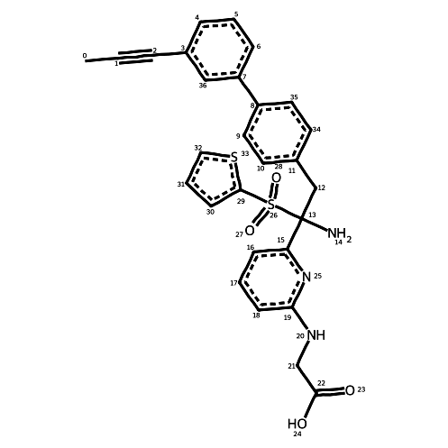 CC#Cc1cccc(-c2ccc(CC(N)(c3cccc(NCC(=O)O)n3)S(=O)(=O)c3cccs3)cc2)c1